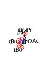 CC(=O)OC[C@H]1C[C@H](C(=O)OC(C)(C)C)[N+]2(C(=O)OC(C)(C)C)O[C@]12CCO[Si](C(C)C)(C(C)C)C(C)C